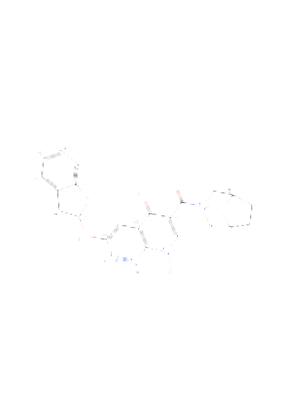 CCn1cc(C(=O)N2CC3CCC(C2)O3)c(=O)c2cc(OC3Cc4ccccc4C3)nnc21